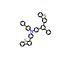 c1ccc(-c2ccc(N(c3ccc(-c4cc(-c5ccccc5)cc(-c5ccc6sc7ccccc7c6c5)c4)cc3)c3ccc(-c4cccc5c4sc4ccccc45)cc3)cc2)cc1